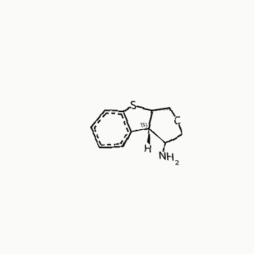 NC1CCCC2Sc3ccccc3[C@@H]12